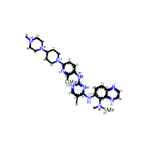 COc1nc(N2CCC(N3CCN(C)CC3)CC2)ccc1Nc1ncc(C)c(Nc2ccc3nccnc3c2N(C)SC)n1